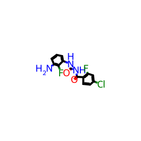 Nc1cccc(NC(=O)NC(=O)c2ccc(Cl)cc2F)c1F